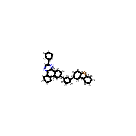 c1ccc(-c2cnc3c4ccccc4c4cc(-c5cccc(-c6ccc7sc8ccccc8c7c6)c5)ccc4c3n2)cc1